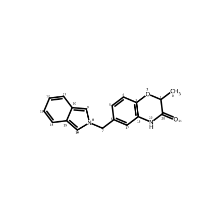 CC1Oc2ccc(Cn3cc4ccccc4c3)cc2NC1=O